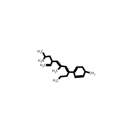 C=CC(/C=C(C)/C=C(\CCC)C1=CCC(C)C=C1)CC(C)N